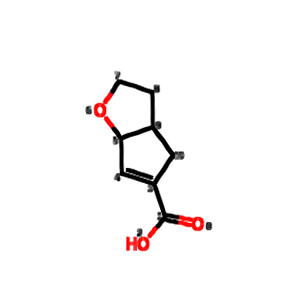 O=C(O)C1=CC2OCCC2C1